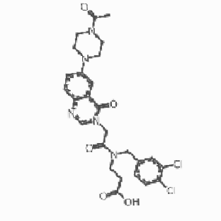 CC(=O)N1CCN(c2ccc3ncn(CC(=O)N(CCC(=O)O)Cc4ccc(Cl)c(Cl)c4)c(=O)c3c2)CC1